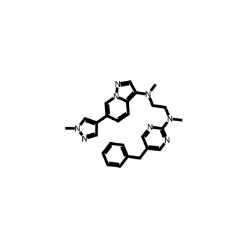 CN(CCN(C)c1cnn2cc(-c3cnn(C)c3)ccc12)c1ncc(Cc2ccccc2)cn1